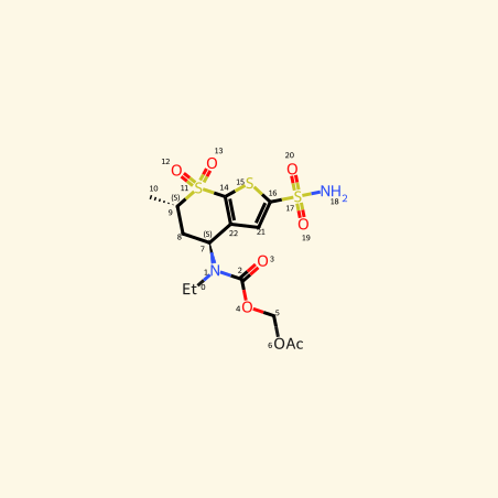 CCN(C(=O)OCOC(C)=O)[C@H]1C[C@H](C)S(=O)(=O)c2sc(S(N)(=O)=O)cc21